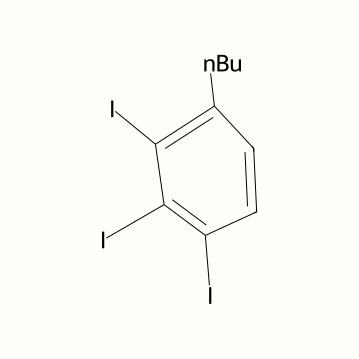 CCCCc1ccc(I)c(I)c1I